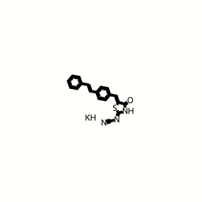 N#CN=C1NC(=O)C(=Cc2ccc(C=Cc3ccccc3)cc2)S1.[KH]